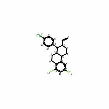 C=CC1CCC2c3cc(F)cc(F)c3CCC2C1c1ccc(Cl)cc1